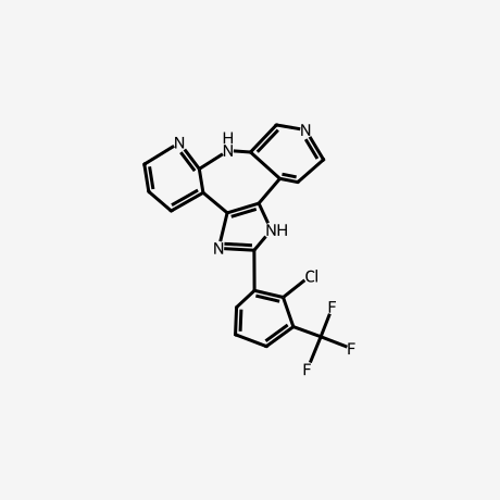 FC(F)(F)c1cccc(-c2nc3c([nH]2)-c2ccncc2Nc2ncccc2-3)c1Cl